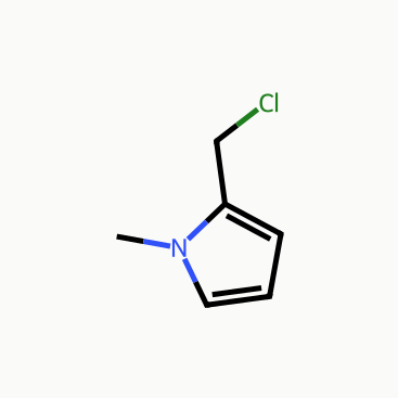 Cn1cccc1CCl